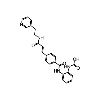 O=C(O)Nc1ccccc1NC(=O)c1ccc(C=CC(=O)NCCc2cccnc2)cc1